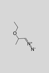 CCOC(C)C=[N+]=[N-]